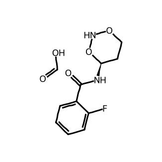 O=C(N[C@@H]1CCONO1)c1ccccc1F.O=CO